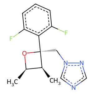 C[C@H]1O[C@@](Cn2cncn2)(c2c(F)cccc2F)[C@H]1C